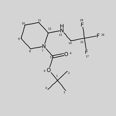 CC(C)(C)OC(=O)N1CCCCC1NCC(F)(F)F